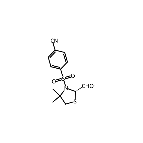 CC1(C)CS[C@@H]([C]=O)N1S(=O)(=O)c1ccc(C#N)cc1